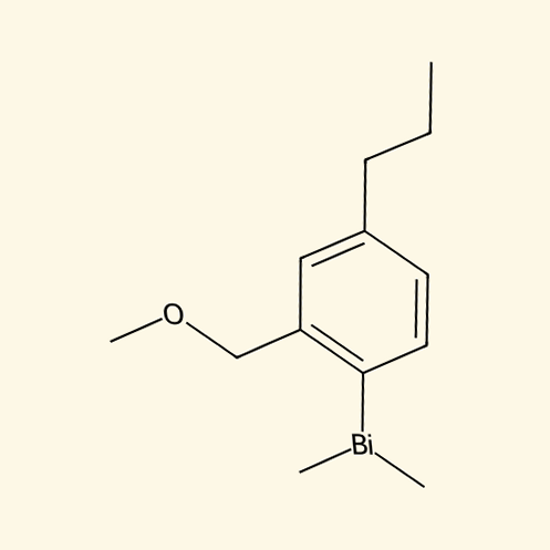 CCCc1cc[c]([Bi]([CH3])[CH3])c(COC)c1